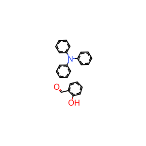 O=Cc1ccccc1O.c1ccc(N(c2ccccc2)c2ccccc2)cc1